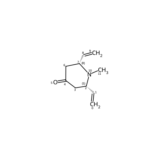 C=C[C@@H]1CC(=O)C[C@H](C=C)N1C